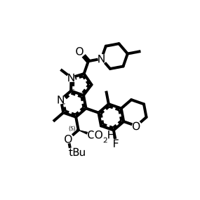 Cc1nc2c(cc(C(=O)N3CCC(C)CC3)n2C)c(-c2cc(F)c3c(c2C)CCCO3)c1[C@H](OC(C)(C)C)C(=O)O